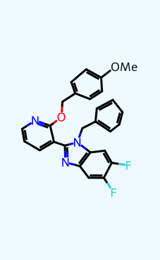 COc1ccc(COc2ncccc2-c2nc3cc(F)c(F)cc3n2Cc2ccccc2)cc1